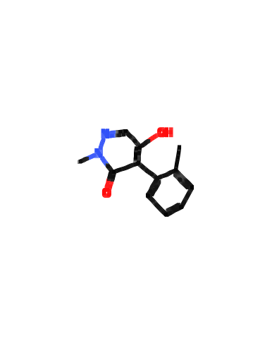 Cc1ccccc1-c1c(O)cnn(C)c1=O